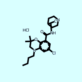 CCCCN1CC(C)(C)Oc2c(C(=O)NC3CN4CCC3CC4)cc(Cl)cc21.Cl